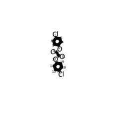 O=C(Oc1ccc(Cl)cc1)C(=O)Oc1ccc(Cl)cc1